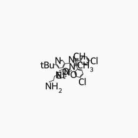 CCOc1cc(C(C)(C)C)ncc1C1=N[C@@](C)(c2ccc(Cl)cc2)[C@@](C)(c2ccc(Cl)cc2)N1C(=O)N1CCN(CCCN)CC1